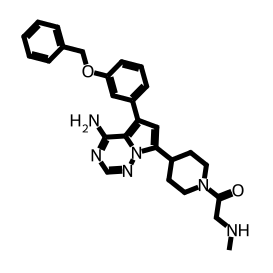 CNCC(=O)N1CCC(c2cc(-c3cccc(OCc4ccccc4)c3)c3c(N)ncnn23)CC1